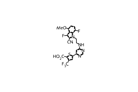 COc1ccc(F)c2c1c(F)c(C#N)n2CCNc1cc(-c2cc(C(F)(F)F)c(C(=O)O)s2)ncn1